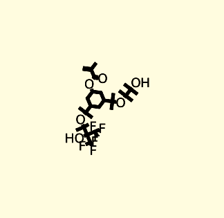 C=C(C)C(=O)OC1CC(C(C)(C)OC(C)(C)C(C)(C)O)CC(C(C)(C)OC(C)(C)C(O)(C(F)(F)F)C(F)(F)F)C1